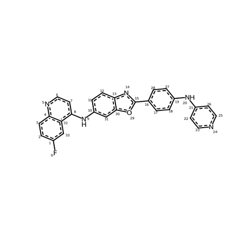 Fc1ccc2nccc(Nc3ccc4nc(-c5ccc(Nc6ccncc6)cc5)oc4c3)c2c1